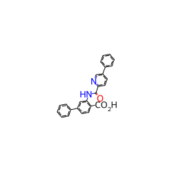 O=C(Nc1cc(-c2ccccc2)ccc1C(=O)O)c1ccc(-c2ccccc2)cn1